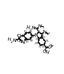 C=Nc1c(/C(N)=N\C)n(-c2ccc3oc(N)nc3c2)c2ccc(C(=O)O)cc12